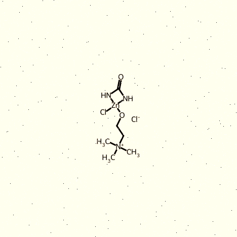 C[N+](C)(C)CC[O][Zn]1([Cl])[NH]C(=O)[NH]1.[Cl-]